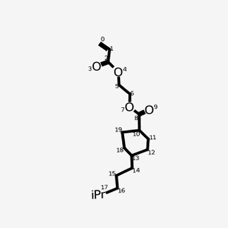 C=CC(=O)OCCOC(=O)C1CCC(CCCC(C)C)CC1